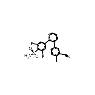 Cc1ccc(-c2cccnc2-c2cc(F)c(S(N)(=O)=O)c(F)c2)cc1C#N